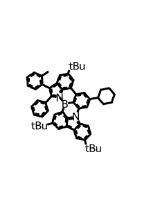 Cc1ccccc1-c1c(-c2ccccc2)n2c3c(cc(C(C)(C)C)cc13)-c1cc(C3CCCCC3)cc3c1B2c1cc(C(C)(C)C)cc2c4cc(C(C)(C)C)ccc4n-3c12